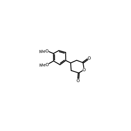 COc1ccc(C2CC(=O)OC(=O)C2)cc1OC